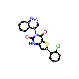 O=c1[nH]c2cc(-c3ccccc3Cl)sc2c(=O)n1-c1cnnc2ccccc12